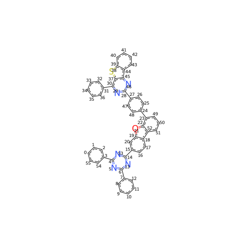 c1ccc(-c2nc(-c3ccccc3)nc(-c3ccc4c(c3)oc3c(-c5ccc(-c6nc(-c7ccccc7)c7sc8ccccc8c7n6)cc5)cccc34)n2)cc1